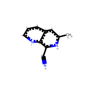 Cc1cc2cccnc2c(C#N)n1